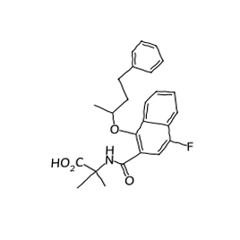 CC(CCc1ccccc1)Oc1c(C(=O)NC(C)(C)C(=O)O)cc(F)c2ccccc12